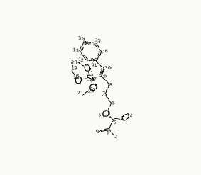 C=C(C)C(=O)OCCCC(=Cc1ccccc1)[Si](OC)(OC)OC